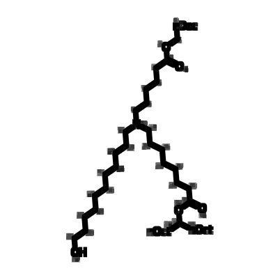 CCCCCCCCCCCOC(=O)CCCCCN(CCCCCCCCCCCO)CCCCCCCC(=O)OC(CCCCCCCC)CCCCCCCC